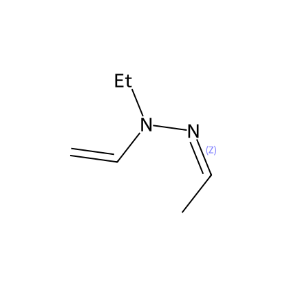 C=CN(CC)/N=C\C